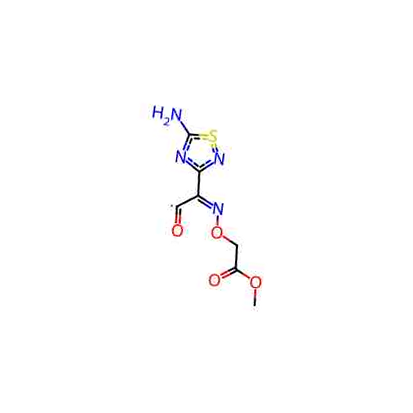 COC(=O)CON=C([C]=O)c1nsc(N)n1